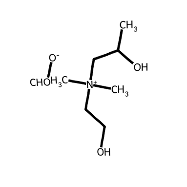 CC(O)C[N+](C)(C)CCO.O=C[O-]